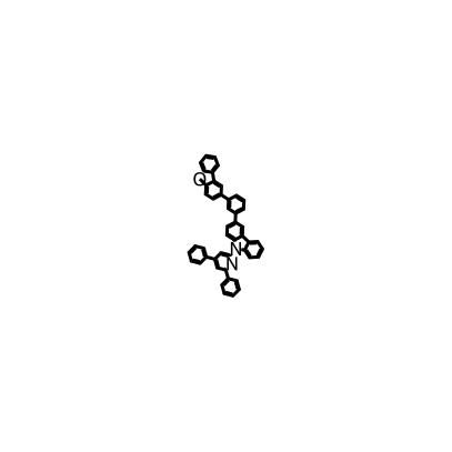 c1ccc(-c2cc(-c3ccccc3)nc(-n3c4ccccc4c4cc(-c5cccc(-c6ccc7oc8ccccc8c7c6)c5)ccc43)c2)cc1